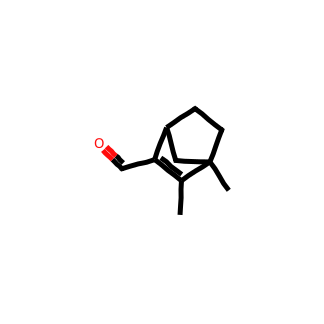 CC1=C(C=O)C2CCC1(C)C2